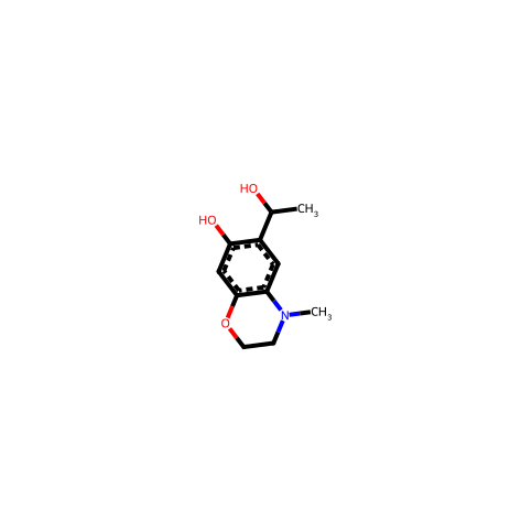 CC(O)c1cc2c(cc1O)OCCN2C